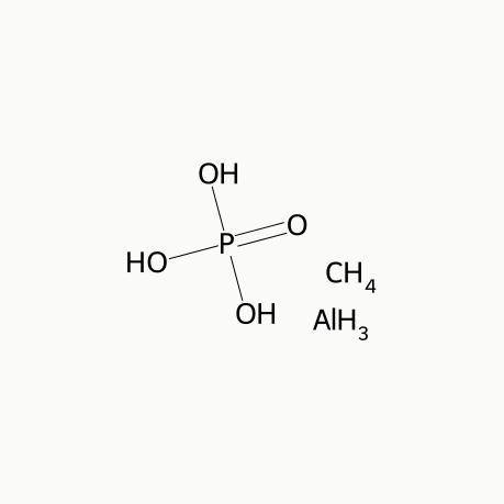 C.O=P(O)(O)O.[AlH3]